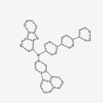 c1ccc(-c2ccc(-c3ccc(N(c4ccc5c(c4)-c4cccc6cccc-5c46)c4cncc5c4oc4ccccc45)cc3)cc2)cc1